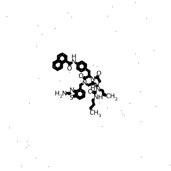 C=CCN(C(=O)NCCCC)N1CC(=O)N2C(Cc3ccc(NC(=O)c4cccc5ccccc45)cc3)C(=O)N(Cc3cccc4sc(N)nc34)C[C@@H]21